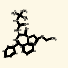 CCOC(=O)CN1C(=O)[C@@H](NC(=O)OC(C)(C)C)N=C(c2ccccc2)c2ccccc21